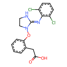 O=C(O)Cc1ccccc1ON1CCNC1=Nc1c(Cl)cccc1Cl